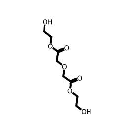 O=C(COCC(=O)OCCO)OCCO